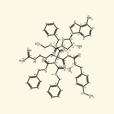 CCOC(=O)[C@H]1O[C@@H](n2cnc3c(N)ncnc32)[C@H](O)[C@@H]1N(C(=O)[C@@H](N)Cc1ccc(OC)cc1)C(=O)[C@@](CCCNC(=N)N)(C(=O)OCc1ccccc1)N(C(=O)OCc1ccccc1)C(=O)OCc1ccccc1